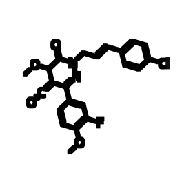 COc1ccc(C2=NN(CC=Cc3ccc(Cl)cc3)C(=O)C(OC)C2=C=O)cc1F